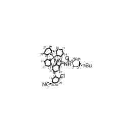 CCCCN1CCC(C(=O)Nc2nn(C(c3ccccc3)(c3ccccc3)c3ccccc3)c3ccc(-c4cc(C#N)ccc4Cl)cc23)CC1